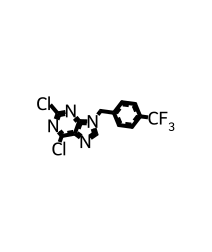 FC(F)(F)c1ccc(Cn2cnc3c(Cl)nc(Cl)nc32)cc1